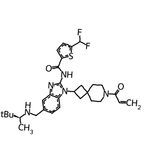 C=CC(=O)N1CCC2(CC1)CC(n1c(NC(=O)c3ccc(C(F)F)s3)nc3cc(CN[C@@H](C)C(C)(C)C)ccc31)C2